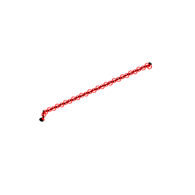 C=C(C)C(=O)OCCOCCOCCOCCOCCOCCOCCOCCOCCOCCOCCOCCOCCOCCOCCOCCOCCOCCOCCOCCOCCOCCOCCOCCOCCOC(C)COCCC1=CCC2CC1C2(C)C